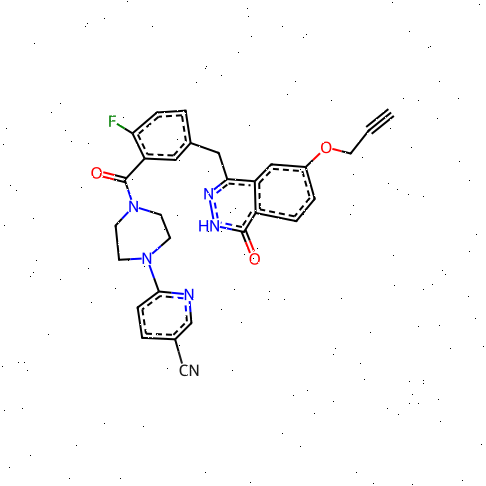 C#CCOc1ccc2c(=O)[nH]nc(Cc3ccc(F)c(C(=O)N4CCN(c5ccc(C#N)cn5)CC4)c3)c2c1